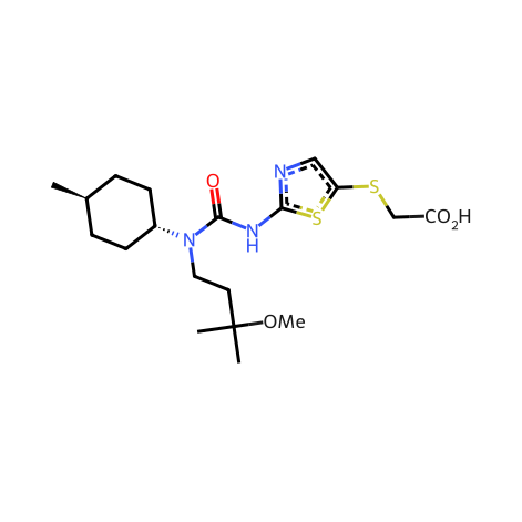 COC(C)(C)CCN(C(=O)Nc1ncc(SCC(=O)O)s1)[C@H]1CC[C@H](C)CC1